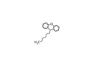 CCCCCCC1c2ccccc2Oc2ccccc21